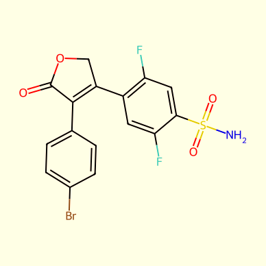 NS(=O)(=O)c1cc(F)c(C2=C(c3ccc(Br)cc3)C(=O)OC2)cc1F